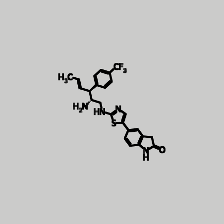 C/C=C/[C@@H](c1ccc(C(F)(F)F)cc1)[C@@H](N)CNc1ncc(-c2ccc3c(c2)CC(=O)N3)s1